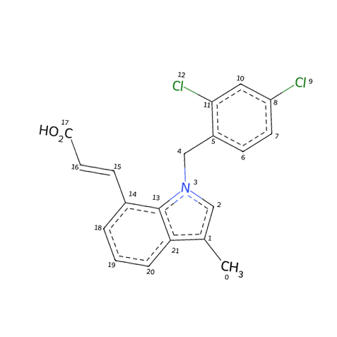 Cc1cn(Cc2ccc(Cl)cc2Cl)c2c(C=CC(=O)O)cccc12